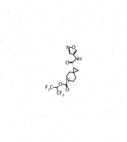 O=C(Nc1cnoc1)[C@@H]1CC12CCN(C(=O)OC(C(F)(F)F)C(F)(F)F)CC2